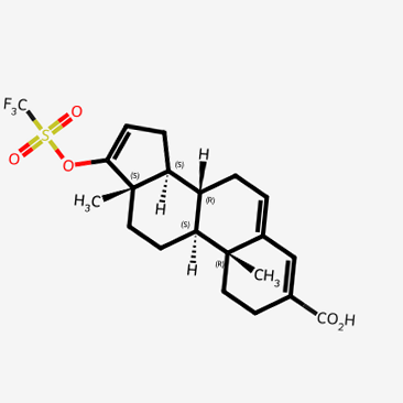 C[C@]12CCC(C(=O)O)=CC1=CC[C@@H]1[C@@H]2CC[C@]2(C)C(OS(=O)(=O)C(F)(F)F)=CC[C@@H]12